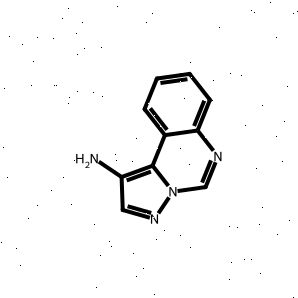 Nc1cnn2cnc3ccccc3c12